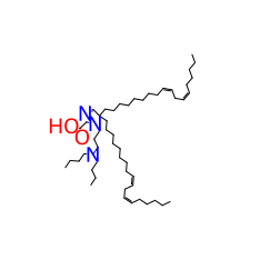 CCCCC/C=C\C/C=C\CCCCCCCCC1(CCCCCCCC/C=C\C/C=C\CCCCC)C=NC(C(=O)O)N1CCCN(CCCC)CCCC